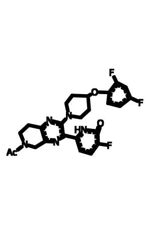 CC(=O)N1CCc2nc(N3CCC(Oc4ccc(F)cc4F)CC3)c(-c3ccc(F)c(=O)[nH]3)nc2C1